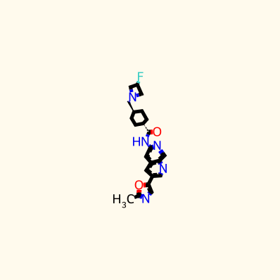 Cc1ncc(-c2cnc3cnc(NC(=O)[C@H]4CC[C@H](CN5CC(F)C5)CC4)cc3c2)o1